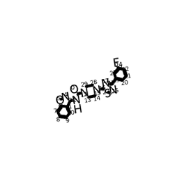 O=C(Nc1noc2ccccc12)N1CCN(c2nc(-c3cccc(F)c3)ns2)CC1